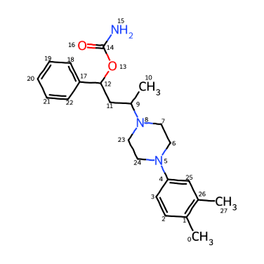 Cc1ccc(N2CCN(C(C)CC(OC(N)=O)c3ccccc3)CC2)cc1C